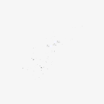 CCC(/N=C(\N=N\Cc1ccc(-c2ccccc2)cc1)c1ccccc1)c1ccc(-c2nc3ccccc3c3c4ccccc4n(-c4ccccc4)c23)c2ccccc12